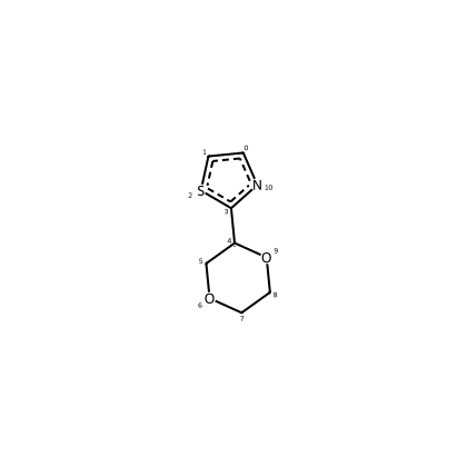 c1csc([C]2COCCO2)n1